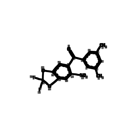 Cc1cc(C)cc(C(=O)c2cc3c(cc2[N+](=O)[O-])OC(F)(F)O3)c1